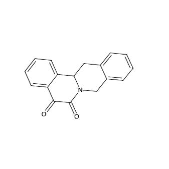 O=C1C(=O)N2Cc3ccccc3CC2c2ccccc21